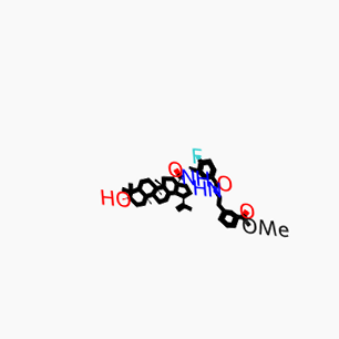 C=C(C)[C@@H]1CC[C@]2(C(=O)NCc3cc(C(=O)NCCc4cccc(C(=O)OC)c4)ccc3F)CC[C@]3(C)C(CCC4[C@@]5(C)CC[C@H](O)C(C)(C)C5CC[C@]43C)C12